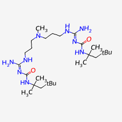 CN(CCCNC(N)=NC(=O)NC(C)(C)CC(C)(C)C)CCCNC(N)=NC(=O)NC(C)(C)CC(C)(C)C